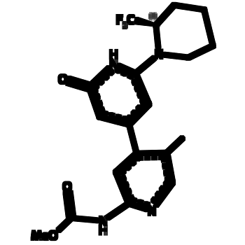 COC(=O)Nc1cc(-c2cc(N3CCCC[C@@H]3C(F)(F)F)[nH]c(=O)c2)c(C)cn1